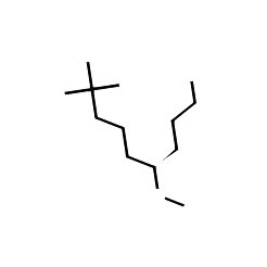 CO[C@H](CCCO)CCCC(C)(C)C